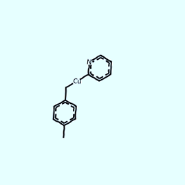 Cc1ccc([CH2][Cu][c]2ccccn2)cc1